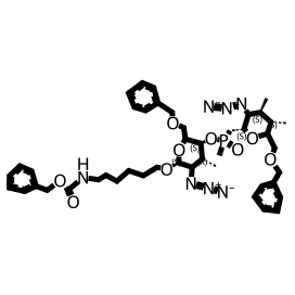 C[C@@H]1C(COCc2ccccc2)O[C@H](CP(C)(=O)O[C@@H]2C(COCc3ccccc3)O[C@H](OCCCCCCNC(=O)OCc3ccccc3)C(N=[N+]=[N-])[C@H]2C)C(N=[N+]=[N-])[C@H]1C